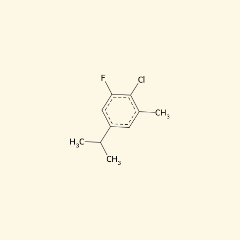 Cc1cc(C(C)C)cc(F)c1Cl